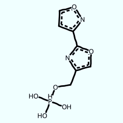 O[PH](O)(O)OCc1coc(-c2ccon2)n1